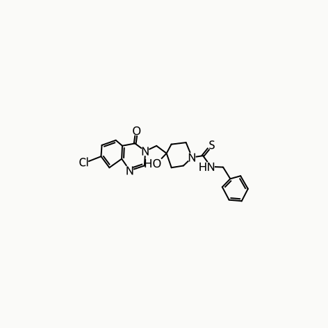 O=c1c2ccc(Cl)cc2ncn1CC1(O)CCN(C(=S)NCc2ccccc2)CC1